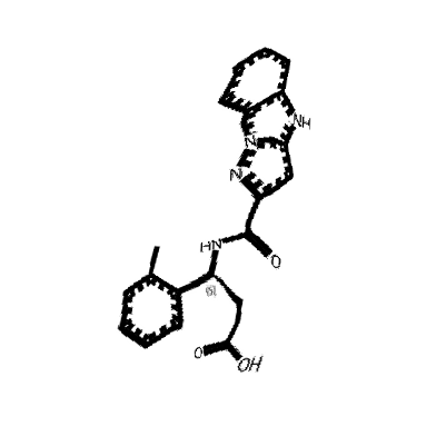 Cc1ccccc1[C@H](CC(=O)O)NC(=O)c1cc2[nH]c3ccccc3n2n1